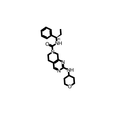 CC[C@@H](NC(=O)N1CCc2cnc(NC3CCOCC3)nc2C1)c1ccccc1